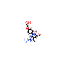 Cc1nc(N)nc2c1cc(Br)c(=O)n2C1CCC(OCCO)CC1